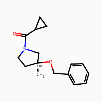 C[C@]1(OCc2ccccc2)CCN(C(=O)C2CC2)C1